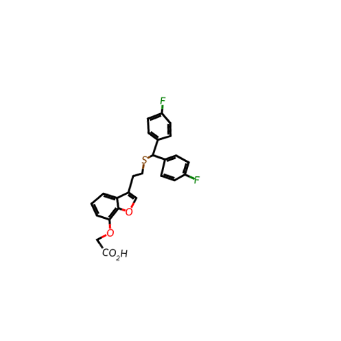 O=C(O)COc1cccc2c(CCSC(c3ccc(F)cc3)c3ccc(F)cc3)coc12